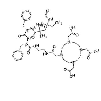 CCC(C)(CC(C)(C)C(=O)N[C@@H](Cc1ccccc1)C(=O)N[C@@H](Cc1ccccc1)C(=O)NCCNC(=O)CN1CCN(CC(=O)O)CCN(CC(=O)O)CCN(CC(=O)O)CC1)NC=O